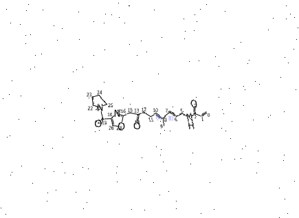 C=CC(=O)NC/C=C/C(C)=C/CCC(=O)Cc1nc(C(=O)N2CCCC2)co1